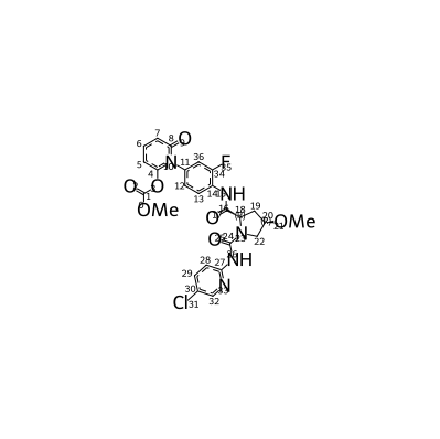 COC(=O)Oc1cccc(=O)n1-c1ccc(NC(=O)[C@H]2C[C@@H](OC)CN2C(=O)Nc2ccc(Cl)cn2)c(F)c1